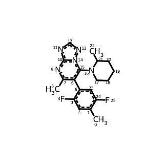 Cc1cc(F)c(-c2c(C)nc3ncnn3c2N2CCCCC2C)cc1F